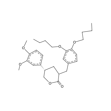 CCCCOc1ccc(CC2C[C@@H](c3ccc(OC)c(OC)c3)COC2=O)cc1OCCCC